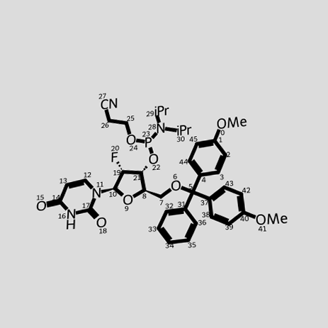 COc1ccc(C(OC[C@H]2O[C@@H](n3ccc(=O)[nH]c3=O)[C@H](F)[C@@H]2OP(OCCC#N)N(C(C)C)C(C)C)(c2ccccc2)c2ccc(OC)cc2)cc1